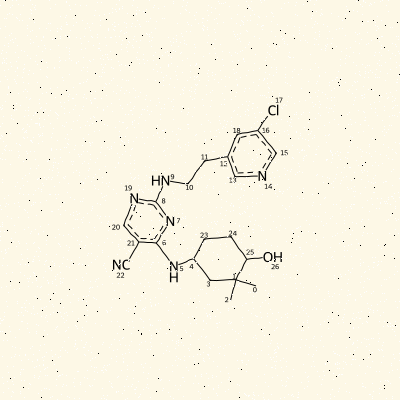 CC1(C)CC(Nc2nc(NCCc3cncc(Cl)c3)ncc2C#N)CCC1O